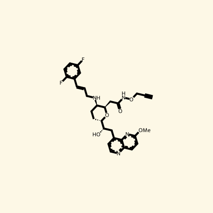 C#CCONC(=O)C[C@H]1O[C@H]([C@@H](O)Cc2ccnc3ccc(OC)nc23)CC[C@H]1NCC=Cc1cc(F)ccc1F